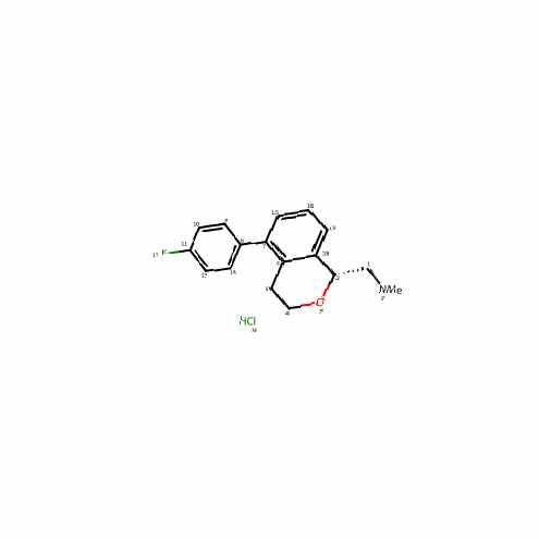 CNC[C@@H]1OCCc2c(-c3ccc(F)cc3)cccc21.Cl